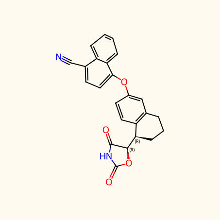 N#Cc1ccc(Oc2ccc3c(c2)CCC[C@H]3[C@H]2OC(=O)NC2=O)c2ccccc12